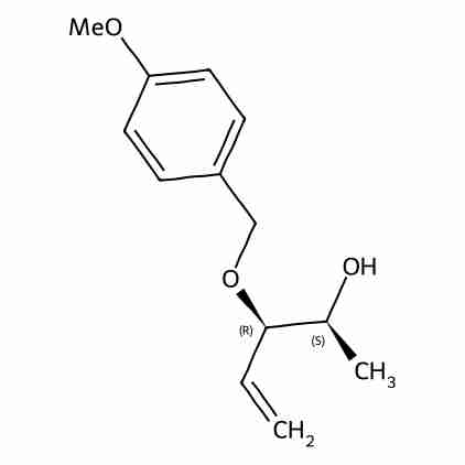 C=C[C@@H](OCc1ccc(OC)cc1)[C@H](C)O